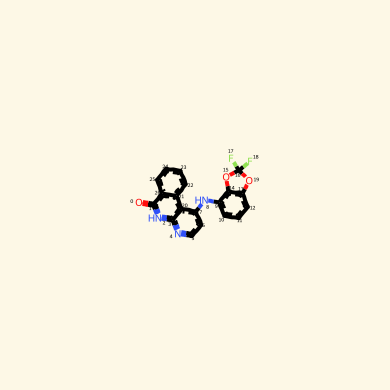 O=c1[nH]c2nccc(Nc3cccc4c3OC(F)(F)O4)c2c2ccccc12